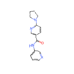 O=C(Nc1cccnc1)c1ccc(N2CCCC2)nc1